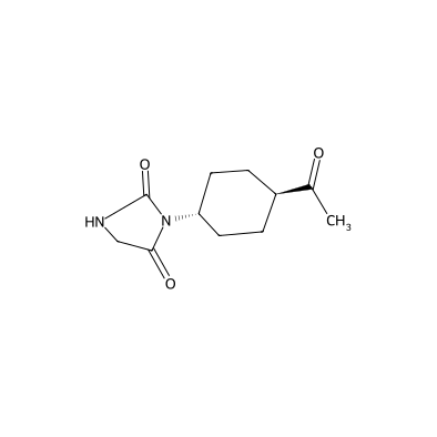 CC(=O)[C@H]1CC[C@H](N2C(=O)CNC2=O)CC1